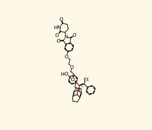 CC/C(=C(\c1ccc(O)cc1)C1C2=C3CCC(=C1CC2)C3OCCOCCOCCOc1ccc2c(c1)C(=O)N(C1CCC(=O)NC1=O)C2=O)c1ccccc1